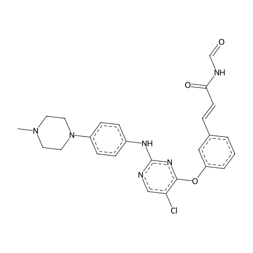 CN1CCN(c2ccc(Nc3ncc(Cl)c(Oc4cccc(C=CC(=O)NC=O)c4)n3)cc2)CC1